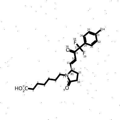 O=C(O)CCCCCCN1C(=O)CC[C@@H]1C=CC(=O)C(F)(F)c1ccc(I)cc1